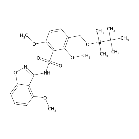 COc1ccc(CO[Si](C)(C)C(C)(C)C)c(OC)c1S(=O)(=O)Nc1noc2cccc(OC)c12